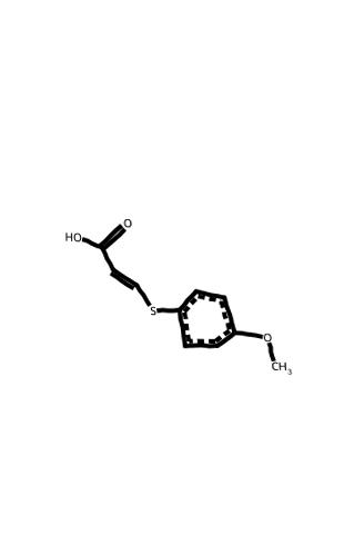 COc1ccc(S/C=C/C(=O)O)cc1